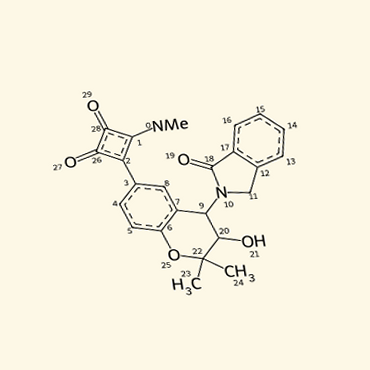 CNc1c(-c2ccc3c(c2)C(N2Cc4ccccc4C2=O)C(O)C(C)(C)O3)c(=O)c1=O